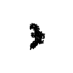 CCC(C)(CNC(=O)c1c(C)nc2c(OCc3c(F)cccc3F)cc(CF)cn12)NC(=O)OC(=O)C(F)(F)F